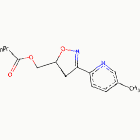 CCCC(=O)OCC1CC(c2ccc(C)cn2)=NO1